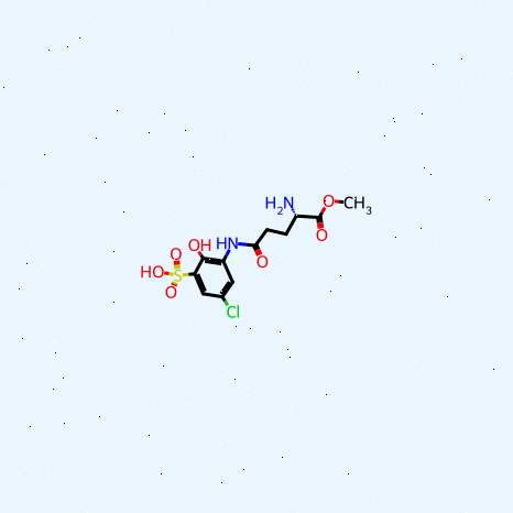 COC(=O)[C@@H](N)CCC(=O)Nc1cc(Cl)cc(S(=O)(=O)O)c1O